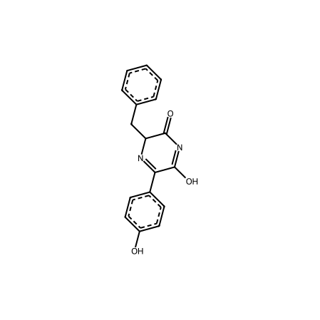 O=C1N=C(O)C(c2ccc(O)cc2)=NC1Cc1ccccc1